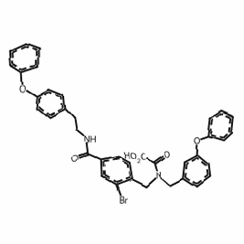 O=C(O)C(=O)N(Cc1cccc(Oc2ccccc2)c1)Cc1ccc(C(=O)NCCc2ccc(Oc3ccccc3)cc2)cc1Br